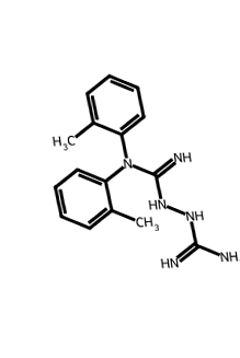 Cc1ccccc1N(C(=N)NNC(=N)N)c1ccccc1C